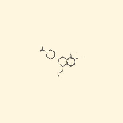 COc1ccc2c(c1OC)C[C@H](C1CCN(C(=O)C(F)(F)F)CC1)O[C@@H]2CNC=O